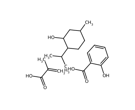 C=C(C)C(=O)O.CC1CCC(C(C)C)C(O)C1.O=C(O)c1ccccc1O